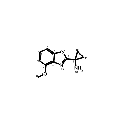 COc1cccc2sc(C3(N)CC3)nc12